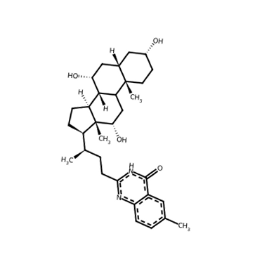 Cc1ccc2nc(CC[C@@H](C)[C@H]3CC[C@H]4[C@H]5C(C[C@H](O)[C@]34C)[C@@]3(C)CC[C@@H](O)C[C@H]3C[C@H]5O)[nH]c(=O)c2c1